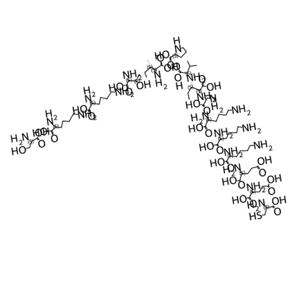 CC(C)[C@H](N)C(=O)O.CC[C@H](C)[C@H](N)C(=O)O.CC[C@H](C)[C@H](N)C(=O)O.C[C@@H](O)[C@H](N)C(=O)O.NCC(=O)O.NCCCC[C@H](N)C(=O)O.NCCCC[C@H](N)C(=O)O.NCCCC[C@H](N)C(=O)O.NCCCC[C@H](N)C(=O)O.NCCCC[C@H](N)C(=O)O.N[C@@H](CCC(=O)O)C(=O)O.N[C@@H](CCC(=O)O)C(=O)O.N[C@@H](CO)C(=O)O.N[C@@H](CS)C(=O)O.O=C(O)[C@@H]1CCCN1